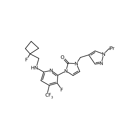 CC(C)n1cc(Cn2ccn(-c3nc(NCC4(F)CCC4)cc(C(F)(F)F)c3F)c2=O)cn1